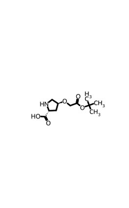 CC(C)(C)OC(=O)CO[C@@H]1CN[C@@H](C(=O)O)C1